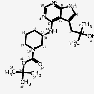 CC(C)(O)Cc1c[nH]c2ncnc(N[C@@H]3CCCN(C(=O)OC(C)(C)C)C3)c12